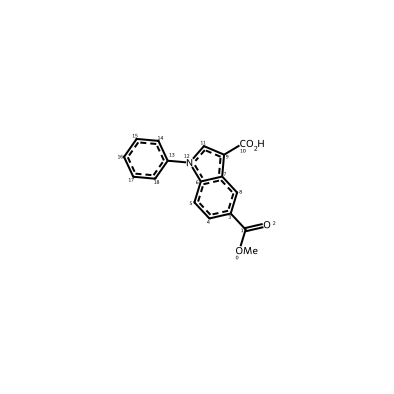 COC(=O)c1ccc2c(c1)c(C(=O)O)cn2-c1ccccc1